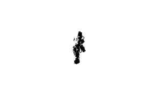 CC#CCn1c(N2CCC[C@@H](NC(=O)OC(C)(C)C)C2)nc2c1c(=O)n(CC(=O)OCc1ccccc1)c(=O)n2C